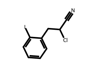 N#CC(Cl)Cc1ccccc1I